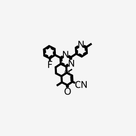 Cc1ccc(-c2nc(-c3ccccc3F)c3c(n2)[C@]2(C)C=C(C#N)C(=O)C(C)C2CC3)cn1